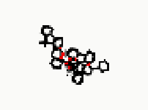 CC1(C)c2ccccc2-c2ccc(N(c3ccc4c(c3)C3(c5cc(C6CCCCC6)ccc5Oc5ccc(C6CCCCC6)cc53)c3ccccc3-4)c3ccccc3-c3cccc4c3oc3ccccc34)cc21